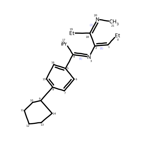 CC/C=C(/N=C(/c1ccc(C2CCCCC2)cc1)C(C)C)C(\CC)=N/C